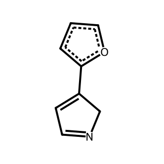 C1=NCC(c2ccco2)=C1